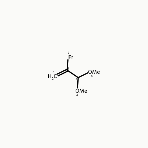 C=C(C(C)C)C(OC)OC